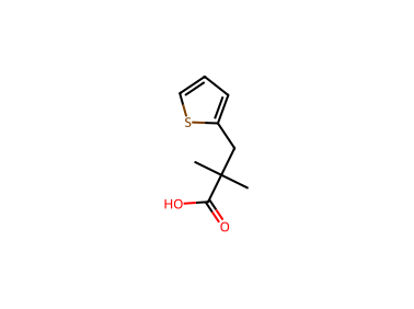 CC(C)(Cc1cccs1)C(=O)O